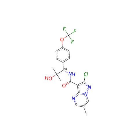 Cc1cnc2c(C(=O)N[C@@H](c3ccc(OC(F)(F)F)cc3)C(C)(C)O)c(Cl)nn2c1